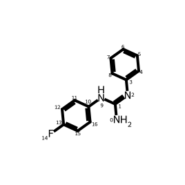 NC(=Nc1ccccc1)Nc1ccc(F)cc1